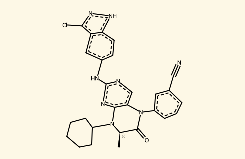 C[C@@H]1C(=O)N(c2cccc(C#N)c2)c2cnc(Nc3ccc4[nH]nc(Cl)c4c3)nc2N1C1CCCCC1